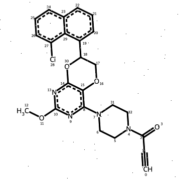 C#CC(=O)N1CCN(c2nc(OC)nc3c2OCC(c2cccc4cccc(Cl)c24)O3)CC1